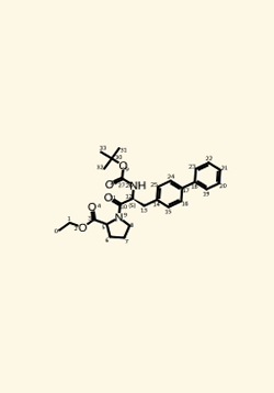 CCOC(=O)C1CCCN1C(=O)[C@H](Cc1ccc(-c2ccccc2)cc1)NC(=O)OC(C)(C)C